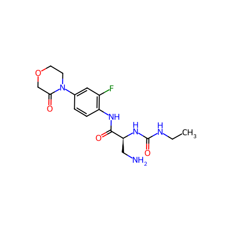 CCNC(=O)N[C@@H](CN)C(=O)Nc1ccc(N2CCOCC2=O)cc1F